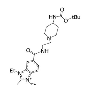 CCn1c(C)[n+](CC)c2ccc(C(=O)NCCN3CCC(NC(=O)OC(C)(C)C)CC3)cc21